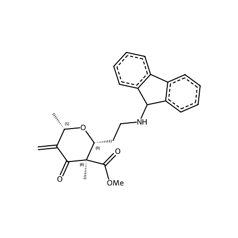 C=C1C(=O)[C@](C)(C(=O)OC)[C@@H](CCNC2c3ccccc3-c3ccccc32)O[C@H]1C